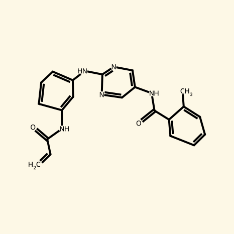 C=CC(=O)Nc1cccc(Nc2ncc(NC(=O)c3ccccc3C)cn2)c1